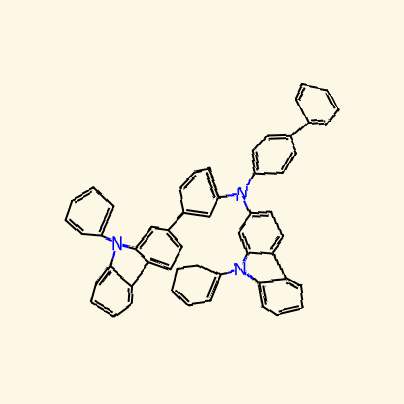 C1=CCCC(n2c3ccccc3c3ccc(N(c4ccc(-c5ccccc5)cc4)c4cccc(-c5ccc6c7ccccc7n(-c7ccccc7)c6c5)c4)cc32)=C1